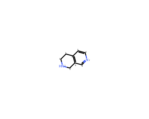 [C]1NCCc2ccncc21